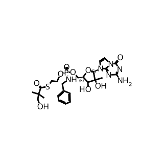 CC(C)(CO)C(=O)SCCOP(=O)(NCc1ccccc1)OC[C@H]1O[C@@H](n2ccn3c(=O)nc(N)nc23)C(C)(O)C1O